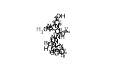 Cn1cc(-c2cc(Nc3ncc(Br)c(Nc4cnc5ccccc5c4P(C)(C)=O)n3)c(OC3CC3)cc2N2CCC(CO)CC2)cn1